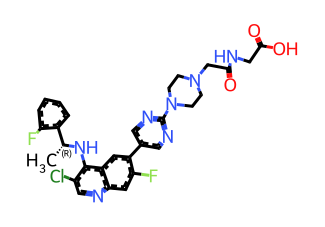 C[C@@H](Nc1c(Cl)cnc2cc(F)c(-c3cnc(N4CCN(CC(=O)NCC(=O)O)CC4)nc3)cc12)c1ccccc1F